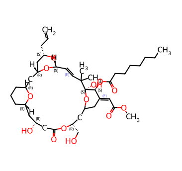 C=CC[C@H]1C[C@H]2C[C@H]3CCC[C@@H](C[C@@H](O)CC(=O)O[C@@H](CO)CC4C/C(=C\C(=O)OC)[C@H](OC(=O)CCCCCCC)[C@@](O)(O4)C(C)(C)/C=C/[C@H](O2)O1)O3